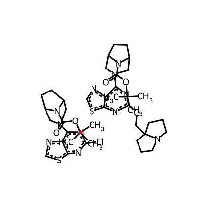 CC(C)(C)OC(=O)N1C2CCC1CN(c1nc(Cl)nc3scnc13)C2.CC(C)(C)OC(=O)N1C2CCC1CN(c1nc(OCC34CCCN3CCC4)nc3scnc13)C2